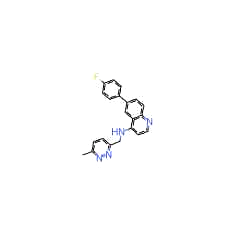 Cc1ccc(CNc2ccnc3ccc(-c4ccc(F)cc4)cc23)nn1